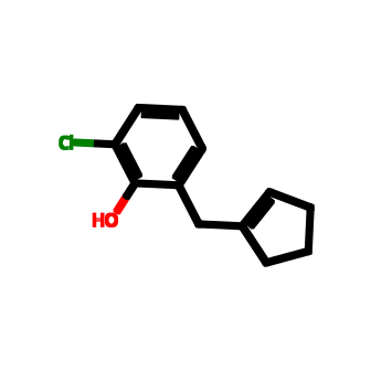 Oc1c(Cl)cccc1CC1=CCCC1